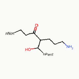 CCCCCCCCCCCC(=O)C(CCCN)C(O)CCCCC